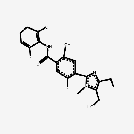 CCc1nc(-c2cc(O)c(C(=O)NC3=C(Cl)CCC=C3F)cc2F)n(C)c1CO